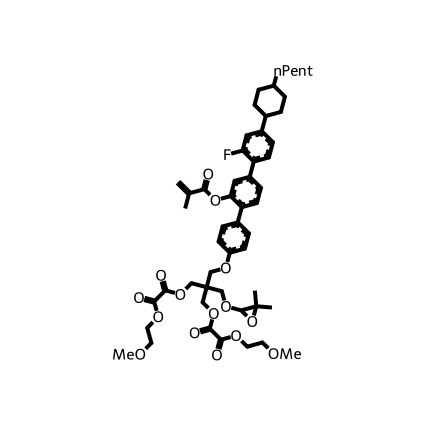 C=C(C)C(=O)Oc1cc(-c2ccc(C3CCC(CCCCC)CC3)cc2F)ccc1-c1ccc(OCC(COC(=O)C(=O)OCCOC)(COC(=O)C(=O)OCCOC)COC2OC2(C)C)cc1